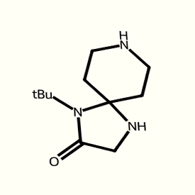 CC(C)(C)N1C(=O)CNC12CCNCC2